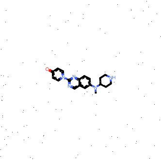 CN(c1ccc2nc(-n3ccc(=O)cc3)ncc2c1)C1CCNCC1